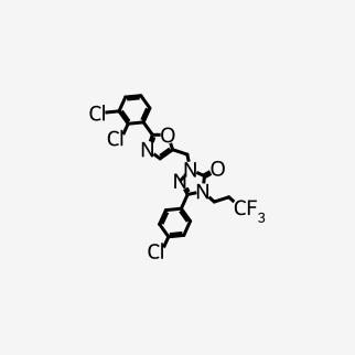 O=c1n(Cc2cnc(-c3cccc(Cl)c3Cl)o2)nc(-c2ccc(Cl)cc2)n1CCC(F)(F)F